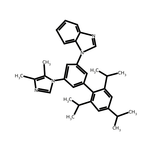 Cc1ncn(-c2cc(-c3c(C(C)C)cc(C(C)C)cc3C(C)C)cc(-n3cnc4ccccc43)c2)c1C